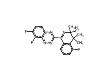 CC1(C)N=C(c2nnc3c(F)c(F)ccc3n2)c2cccc(F)c2C1(C)C